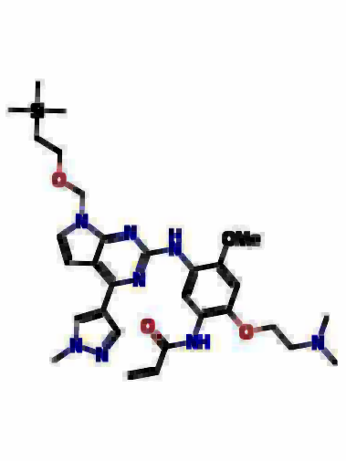 C=CC(=O)Nc1cc(Nc2nc(-c3cnn(C)c3)c3ccn(COCC[Si](C)(C)C)c3n2)c(OC)cc1OCCN(C)C